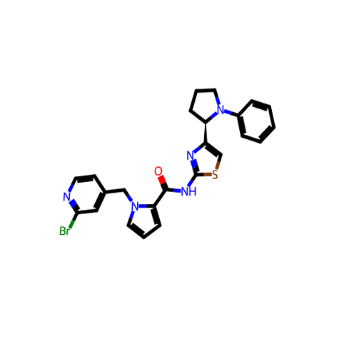 O=C(Nc1nc([C@H]2CCCN2c2ccccc2)cs1)c1cccn1Cc1ccnc(Br)c1